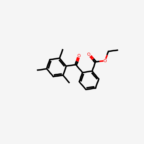 CCOC(=O)c1ccccc1C(=O)c1c(C)cc(C)cc1C